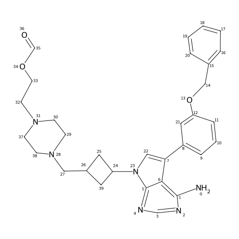 Nc1ncnc2c1c(-c1cccc(OCc3ccccc3)c1)cn2C1CC(CN2CCN(CCOC=O)CC2)C1